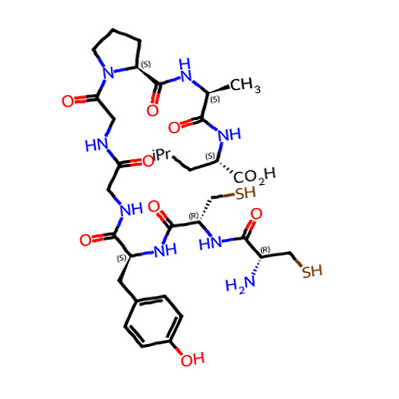 CC(C)C[C@H](NC(=O)[C@H](C)NC(=O)[C@@H]1CCCN1C(=O)CNC(=O)CNC(=O)[C@H](Cc1ccc(O)cc1)NC(=O)[C@H](CS)NC(=O)[C@@H](N)CS)C(=O)O